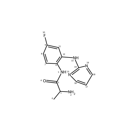 CC(N)C(=O)Nc1ccc(F)cc1Nc1ncccn1